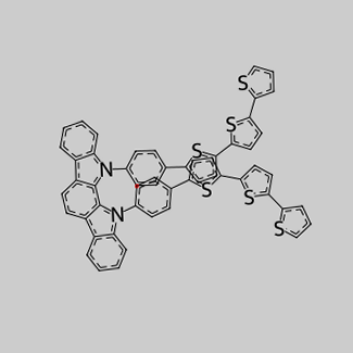 c1csc(-c2ccc(-c3ccc(-c4ccc(-n5c6ccccc6c6ccc7c8ccccc8n(-c8ccc(-c9ccc(-c%10ccc(-c%11cccs%11)s%10)s9)cc8)c7c65)cc4)s3)s2)c1